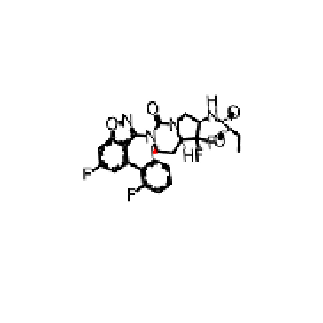 CCS(=O)(=O)N[C@@H]1CN2C(=O)N(c3noc4cc(F)cc(-c5c(F)cccc5F)c34)CC[C@@H]2C1(F)F